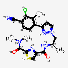 Cc1c(-c2ccn(C[C@H](C)NC(=O)c3csc(C(=O)N(C)C)n3)n2)ccc(C#N)c1Cl